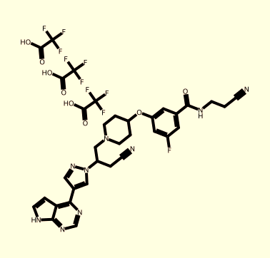 N#CCCNC(=O)c1cc(F)cc(OC2CCN(CC(CC#N)n3cc(-c4ncnc5[nH]ccc45)cn3)CC2)c1.O=C(O)C(F)(F)F.O=C(O)C(F)(F)F.O=C(O)C(F)(F)F